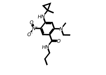 CCCNC(=O)c1cc([N+](=O)[O-])c(NC2(C)CC2)cc1N(C)CC